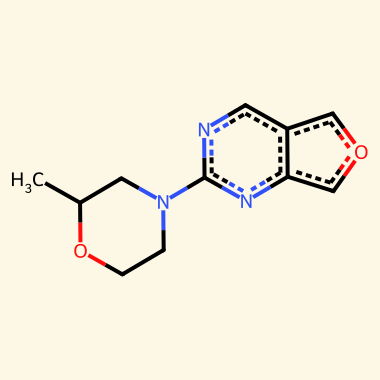 CC1CN(c2ncc3cocc3n2)CCO1